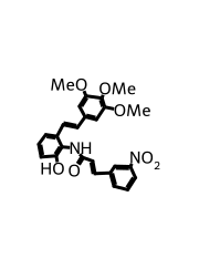 COc1cc(/C=C/c2cccc(O)c2NC(=O)/C=C/c2cccc([N+](=O)[O-])c2)cc(OC)c1OC